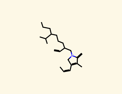 C=CC(CCCC(CCC)C(C)C)CN1CC(/C=C\C)=C(C)C1=C